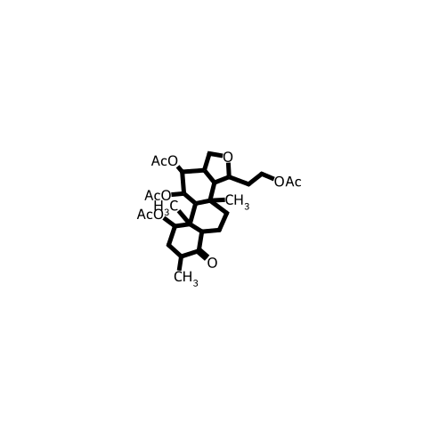 CC(=O)OCCC1OCC2C(OC(C)=O)C(OC(C)=O)C3C(C)(CCC4C(=O)C(C)CC(OC(C)=O)C43C)C12